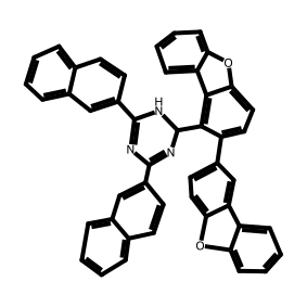 c1ccc2cc(C3=NC(c4c(-c5ccc6oc7ccccc7c6c5)ccc5oc6ccccc6c45)NC(c4ccc5ccccc5c4)=N3)ccc2c1